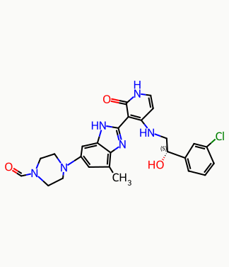 Cc1cc(N2CCN(C=O)CC2)cc2[nH]c(-c3c(NC[C@@H](O)c4cccc(Cl)c4)cc[nH]c3=O)nc12